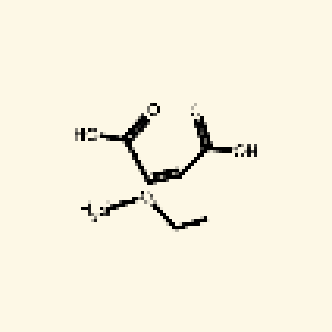 CCO[SiH3].O=C(O)/C=C\C(=O)O